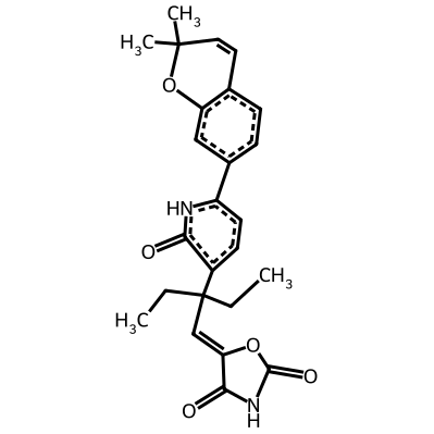 CCC(/C=C1\OC(=O)NC1=O)(CC)c1ccc(-c2ccc3c(c2)OC(C)(C)C=C3)[nH]c1=O